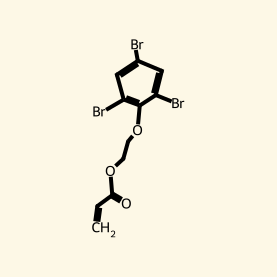 C=CC(=O)OCCOc1c(Br)cc(Br)cc1Br